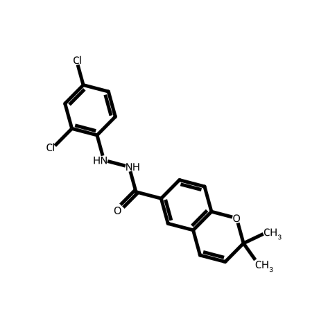 CC1(C)C=Cc2cc(C(=O)NNc3ccc(Cl)cc3Cl)ccc2O1